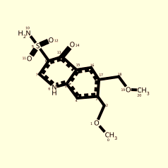 COCc1cc2[nH]cc(S(N)(=O)=O)c(=O)c2cc1COC